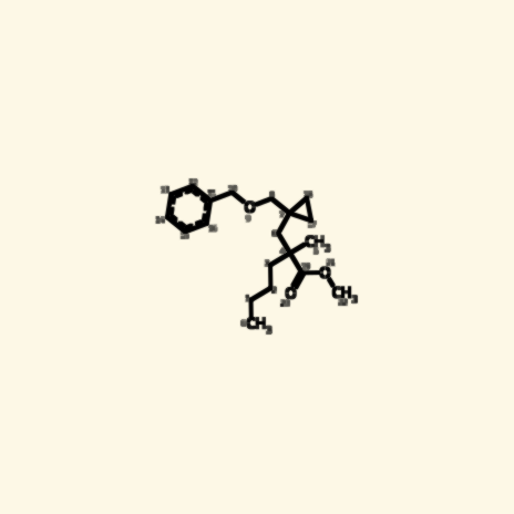 CCCCC(C)(CC1(COCc2ccccc2)CC1)C(=O)OC